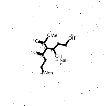 CCCCCCCCCCCC(=O)C(C(=O)OC)C(O)CCO.[NaH]